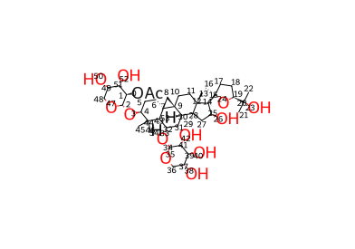 CC(=O)O[C@H]1[C@H](O[C@H]2CC[C@]34C[C@]35CC[C@]3(C)[C@@H]([C@@]6(C)CC[C@@H](C(C)(C)O)O6)[C@@H](O)C[C@@]3(C)[C@@H]5C[C@H](O[C@@H]3OC[C@@H](O)[C@H](O)[C@H]3O)[C@H]4C2(C)C)OC[C@@H](O)[C@@H]1O